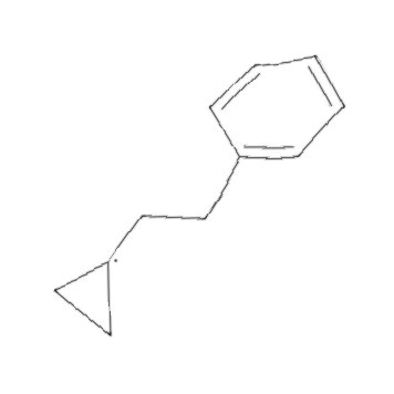 c1ccc(CC[C]2CC2)cc1